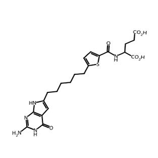 Nc1nc2[nH]c(CCCCCCc3ccc(C(=O)NC(CCC(=O)O)C(=O)O)s3)cc2c(=O)[nH]1